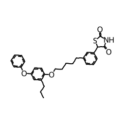 CCCc1cc(Oc2ccccc2)ccc1OCCCCCc1cccc(C2SC(=O)NC2=O)c1